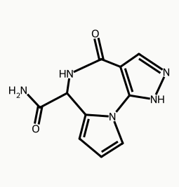 NC(=O)C1NC(=O)c2cn[nH]c2-n2cccc21